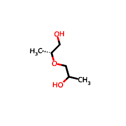 CC(O)CO[C@H](C)CO